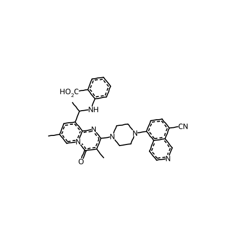 Cc1cc(C(C)Nc2ccccc2C(=O)O)c2nc(N3CCN(c4ccc(C#N)c5cnccc45)CC3)c(C)c(=O)n2c1